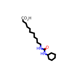 O=C(O)CCCCCCCCCCNC(=O)NC1CCCCC1